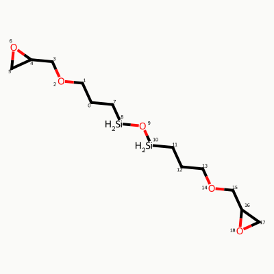 C(COCC1CO1)C[SiH2]O[SiH2]CCCOCC1CO1